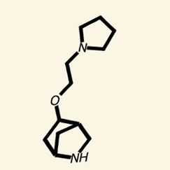 C1CCN(CCOC2CC3CC2CN3)C1